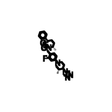 C[C@@H]1CN(c2ccc(CN3[C@@H](C)CC[C@H](c4ccccc4)S3(=O)=O)c(F)c2)CC[C@@H]1n1cnnc1